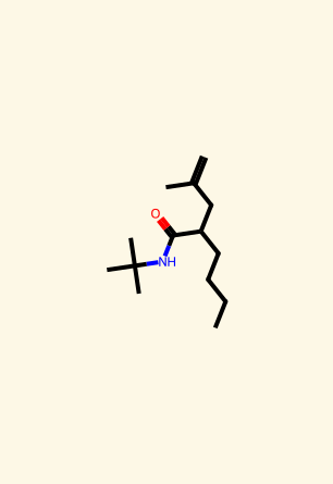 C=C(C)CC(CCCC)C(=O)NC(C)(C)C